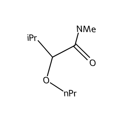 CCCOC(C(=O)NC)C(C)C